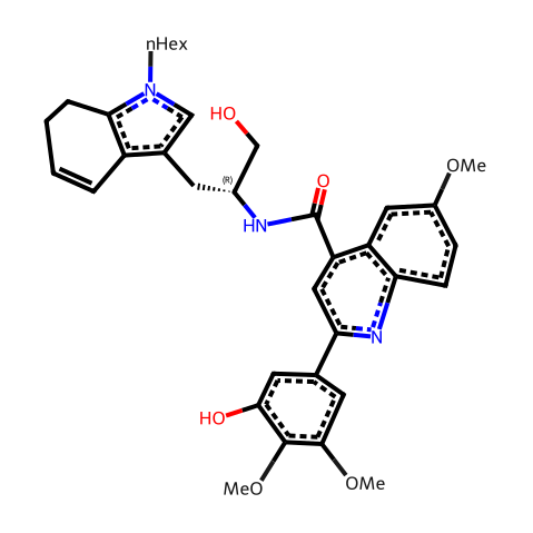 CCCCCCn1cc(C[C@H](CO)NC(=O)c2cc(-c3cc(O)c(OC)c(OC)c3)nc3ccc(OC)cc23)c2c1CCC=C2